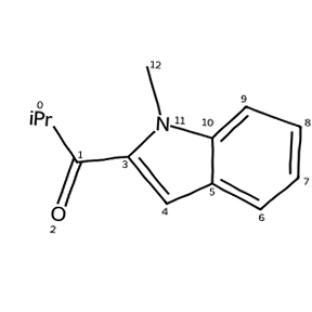 CC(C)C(=O)c1cc2ccccc2n1C